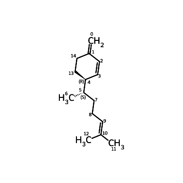 C=C1C=C[C@@H]([C@@H](C)CCC=C(C)C)CC1